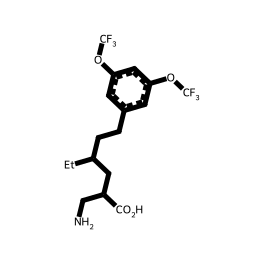 CCC(CCc1cc(OC(F)(F)F)cc(OC(F)(F)F)c1)CC(CN)C(=O)O